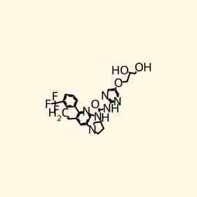 C=Cc1cc2c(nc1-c1cccc(C(F)(F)F)c1)N(C(=O)Nc1ncc(OC[C@@H](O)CO)cn1)[C@H]1CCN2C1